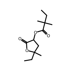 CCC1(C)CC(OC(=O)C(C)(C)CC)C(=O)O1